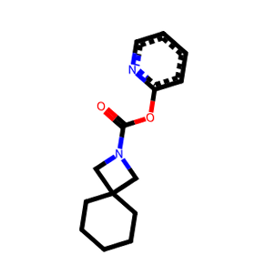 O=C(Oc1ccccn1)N1CC2(CCCCC2)C1